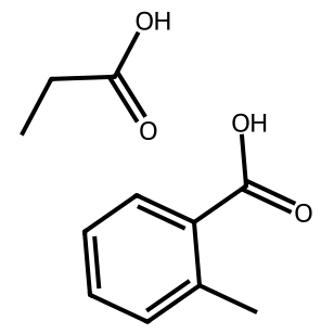 CCC(=O)O.Cc1ccccc1C(=O)O